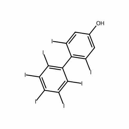 Oc1cc(I)c(-c2c(I)c(I)c(I)c(I)c2I)c(I)c1